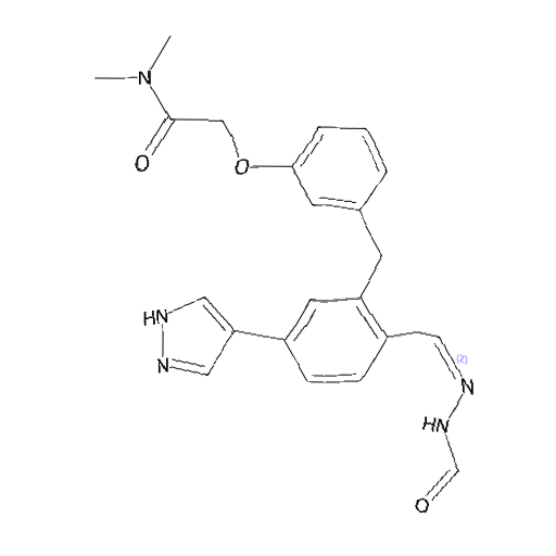 CN(C)C(=O)COc1cccc(Cc2cc(-c3cn[nH]c3)ccc2/C=N\NC=O)c1